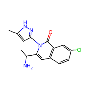 Cc1cc(-n2c(C(C)N)cc3ccc(Cl)cc3c2=O)n[nH]1